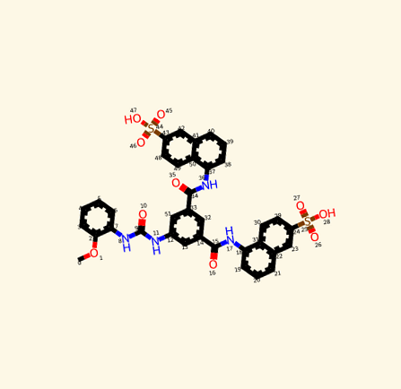 COc1ccccc1NC(=O)Nc1cc(C(=O)Nc2cccc3cc(S(=O)(=O)O)ccc23)cc(C(=O)Nc2cccc3cc(S(=O)(=O)O)ccc23)c1